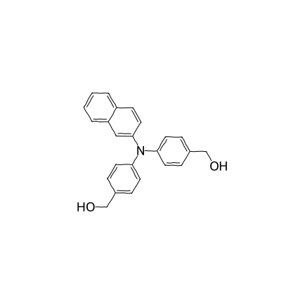 OCc1ccc(N(c2ccc(CO)cc2)c2ccc3ccccc3c2)cc1